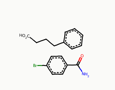 NC(=O)c1ccc(Br)cc1.O=C(O)CCCc1ccccc1